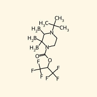 BC1N(C(C)(C)C)CCN(C(=O)OC(C(F)(F)F)C(F)(F)F)C1(B)B